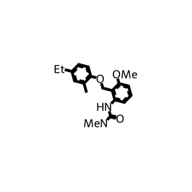 CCc1ccc(OCc2c(NC(=O)NC)cccc2OC)c(C)c1